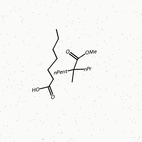 CCCCCC(C)(CCC)C(=O)OC.CCCCCCC(=O)O